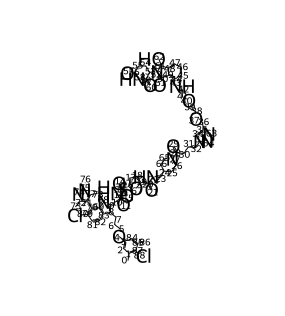 Cc1cc(OCCCc2c(C(=O)NS(=O)(=O)c3ccc(C(=O)NCC4CCN(C(=O)CCCn5cc(COCCOCCNc6cccc7c6C(=O)N(C6CCC(=O)NC6=O)C7O)nn5)CC4)o3)[nH]c3c(-c4c(C)nn(C)c4C)c(Cl)ccc23)cc(C)c1Cl